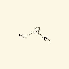 CCCCCCC1C=CC=CN1CCCC